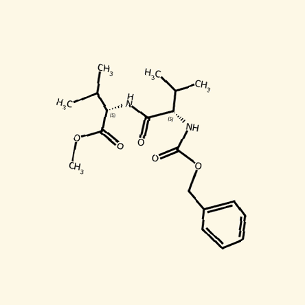 COC(=O)[C@@H](NC(=O)[C@@H](NC(=O)OCc1ccccc1)C(C)C)C(C)C